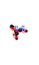 COc1c(CC(NC(=O)c2ccc(NC(=O)OC(C)(C)C)nc2)B2OC3CC4CC(C4(C)C)C3(C)O2)cccc1C(=O)OC(C)(C)C